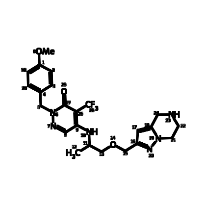 COc1ccc(Cn2ncc(NC(C)COCc3cc4n(n3)CCNC4)c(C(F)(F)F)c2=O)cc1